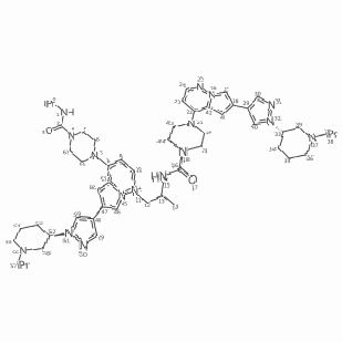 CC(C)NC(=O)N1CCN(c2cc[n+](CC(C)NC(=O)N3CCN(c4ccnn5cc(-c6cnn([C@H]7CCCN(C(C)C)C7)c6)cc45)CC3)n3cc(-c4cnn([C@@H]5CCCN(C(C)C)C5)c4)cc23)CC1